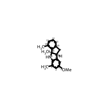 COc1cc(C)c2c(c1)[C@@H]1Cc3cccc(C)c3[C@]1(C)N2